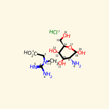 CN(CC(=O)O)C(=N)N.Cl.N[C@@H]1[C@@H](O)[C@H](O)[C@@H](CO)O[C@H]1O